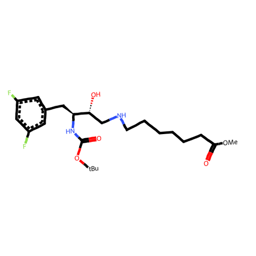 COC(=O)CCCCCCNC[C@@H](O)[C@H](Cc1cc(F)cc(F)c1)NC(=O)OC(C)(C)C